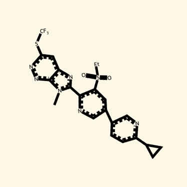 CCS(=O)(=O)c1cc(-c2ccc(C3CC3)nc2)cnc1-c1nc2cc(SC(F)(F)F)nnc2n1C